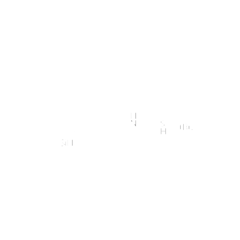 CC(C)=C[SiH](CNCCCC[SiH](C)C)C(C)(C)C